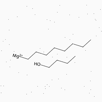 CCCCCCC[CH2][Mg+2].CCCCO